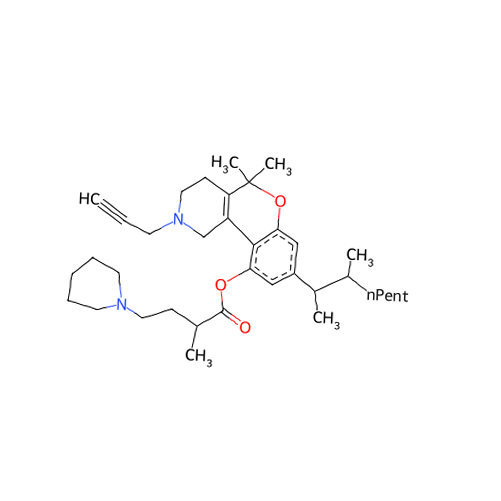 C#CCN1CCC2=C(C1)c1c(OC(=O)C(C)CCN3CCCCC3)cc(C(C)C(C)CCCCC)cc1OC2(C)C